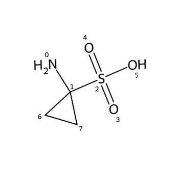 NC1(S(=O)(=O)O)CC1